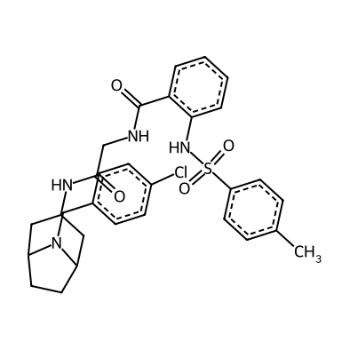 Cc1ccc(S(=O)(=O)Nc2ccccc2C(=O)NCC(=O)NC2CC3CCC(C2)N3Cc2ccc(Cl)cc2)cc1